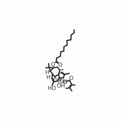 CCCCCCCCCCCC(=O)O[C@@]12C[C@@H](C)[C@]34C=C(C)[C@H](OC(=O)C(C)=C(C)C)[C@@]3(O)[C@H](O)C(CO)=C[C@H](C4O)[C@@H]1C2(C)C